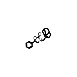 O=C1OC(c2ccccc2)CN1CC1C2CC3CC(C2)CC1C3